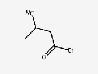 CCC(=O)CC(C)C#N